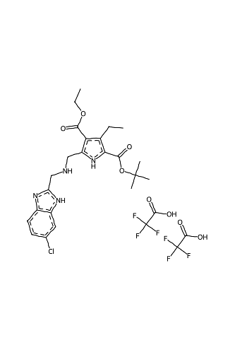 CCOC(=O)c1c(CNCc2nc3ccc(Cl)cc3[nH]2)[nH]c(C(=O)OC(C)(C)C)c1CC.O=C(O)C(F)(F)F.O=C(O)C(F)(F)F